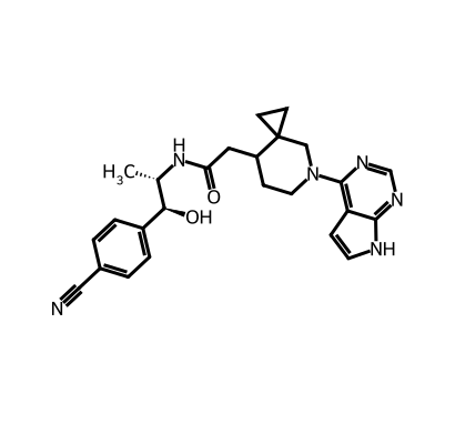 C[C@H](NC(=O)CC1CCN(c2ncnc3[nH]ccc23)CC12CC2)[C@@H](O)c1ccc(C#N)cc1